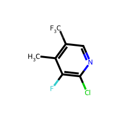 Cc1c(C(F)(F)F)cnc(Cl)c1F